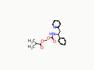 CC(C)C(=O)OCOC(=O)NC(Cc1ccccn1)c1ccccc1